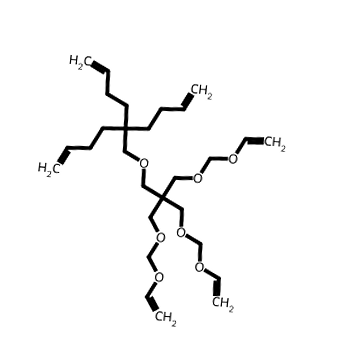 C=CCCC(CCC=C)(CCC=C)COCC(COCOC=C)(COCOC=C)COCOC=C